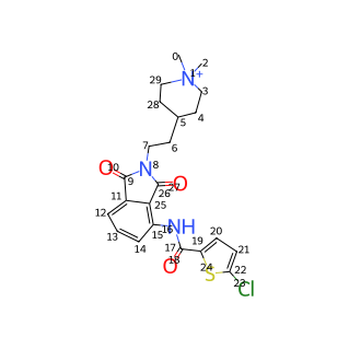 C[N+]1(C)CCC(CCN2C(=O)c3cccc(NC(=O)c4ccc(Cl)s4)c3C2=O)CC1